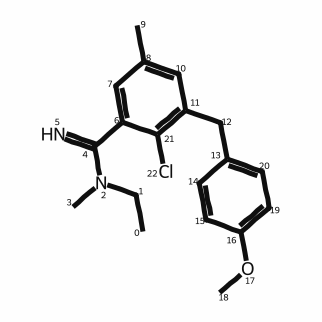 CCN(C)C(=N)c1cc(C)cc(Cc2ccc(OC)cc2)c1Cl